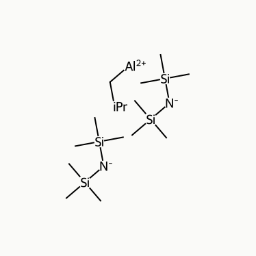 CC(C)[CH2][Al+2].C[Si](C)(C)[N-][Si](C)(C)C.C[Si](C)(C)[N-][Si](C)(C)C